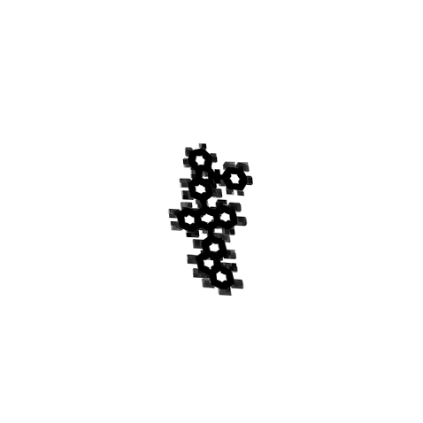 c1ccc(-n2c3ccccc3c3ccc(-c4c5ccccc5c(-c5ccc6c(ccc7ccccc76)c5)c5ccccc45)cc32)cc1